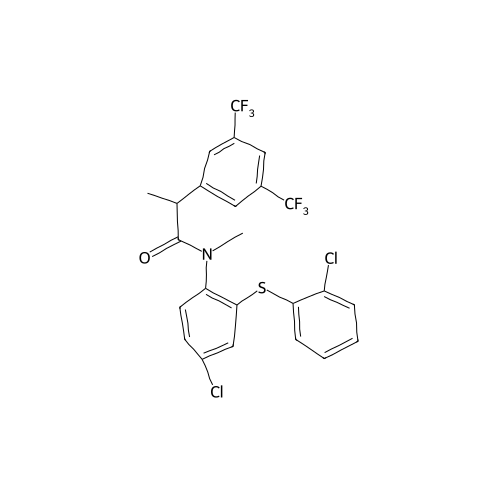 CC(C(=O)N(C)c1ccc(Cl)cc1Sc1ccccc1Cl)c1cc(C(F)(F)F)cc(C(F)(F)F)c1